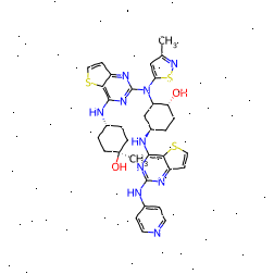 Cc1cc(N(c2nc(N[C@H]3CC[C@](C)(O)CC3)c3sccc3n2)C2C[C@H](Nc3nc(Nc4ccncc4)nc4ccsc34)CC[C@H]2O)sn1